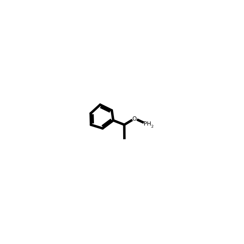 CC(OP)c1ccccc1